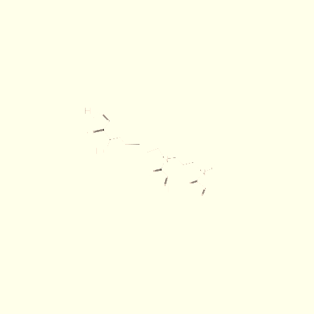 C=CC(=O)C(C)CCCCCN(CCCN(C)C(=O)C=C)C(=O)C=C